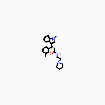 Cc1cccc([C@H](CC(=O)NCCN2CCCCC2)c2cn(C)c3ccccc23)c1